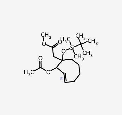 COC(=O)CC1(O[Si](C)(C)C(C)(C)C)CCCC/C=C/C1OC(C)=O